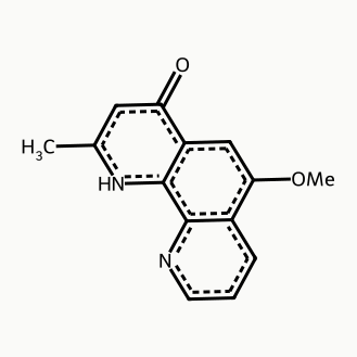 COc1cc2c(=O)cc(C)[nH]c2c2ncccc12